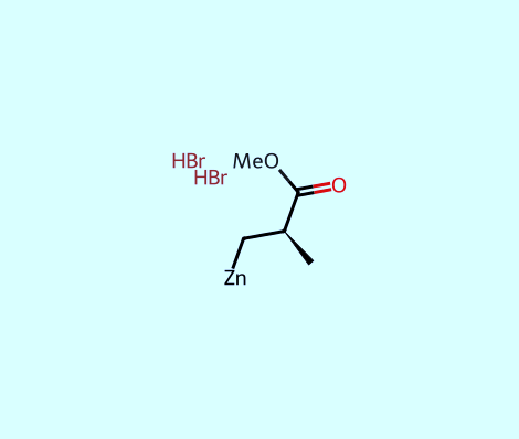 Br.Br.COC(=O)[C@@H](C)[CH2][Zn]